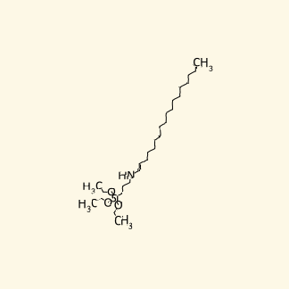 CCCCCCCCCCCCCCCCC=CNCCC[Si](OCC)(OCC)OCC